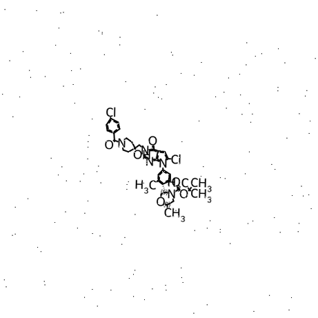 Cc1cc(-n2c(Cl)cc3c(=O)n(CC4(O)CCN(C(=O)c5ccc(Cl)cc5)CC4)cnc32)ccc1[C@H]1CO[C@H](C)CN1C(=O)OC(C)(C)C